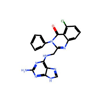 Nc1nc(NCc2nc3cccc(Cl)c3c(=O)n2-c2ccccc2)c2nc[nH]c2n1